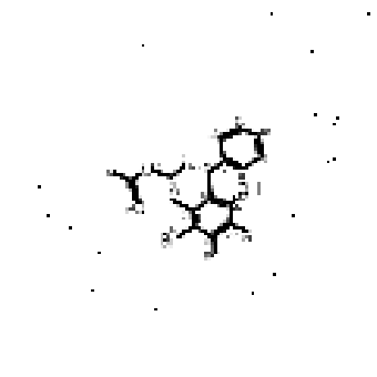 CC(=O)OCC[C@H](c1ccccc1)c1c(C)c(Br)c(C)c(C)c1O